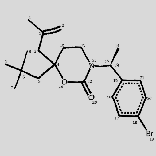 C=C(C)CC1(CC(C)(C)C)CCN([C@@H](C)c2ccc(Br)cc2)C(=O)O1